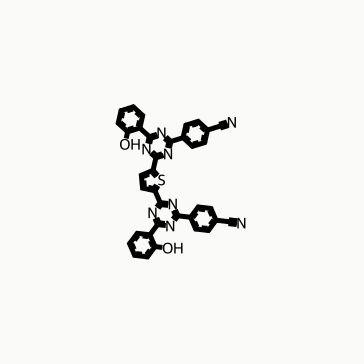 N#Cc1ccc(-c2nc(-c3ccc(-c4nc(-c5ccc(C#N)cc5)nc(-c5ccccc5O)n4)s3)nc(-c3ccccc3O)n2)cc1